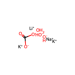 O.O=C([O-])[O-].[K+].[K+].[Li+].[Na+].[OH-].[OH-]